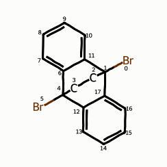 BrC12CCC(Br)(c3ccccc31)c1ccccc12